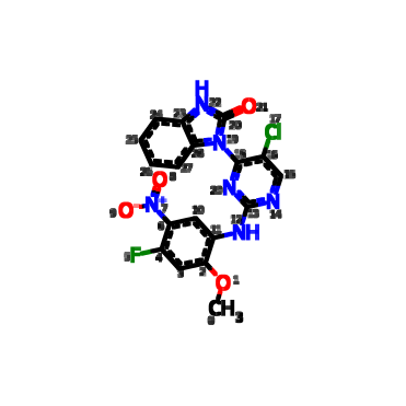 COc1cc(F)c([N+](=O)[O-])cc1Nc1ncc(Cl)c(-n2c(=O)[nH]c3ccccc32)n1